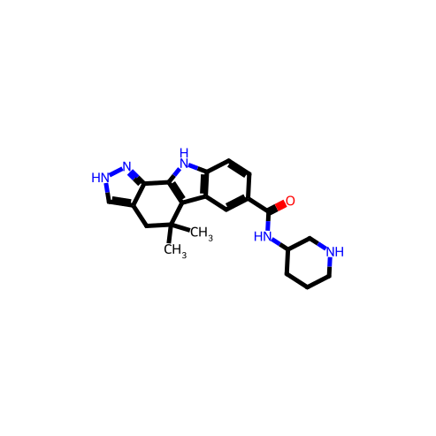 CC1(C)Cc2c[nH]nc2-c2[nH]c3ccc(C(=O)NC4CCCNC4)cc3c21